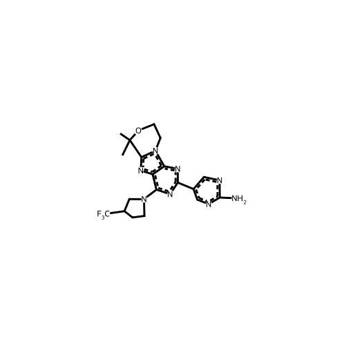 CC1(C)OCCn2c1nc1c(N3CCC(C(F)(F)F)C3)nc(-c3cnc(N)nc3)nc12